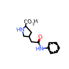 O=C(CC1CNC(C(=O)O)C1)Nc1ccccc1